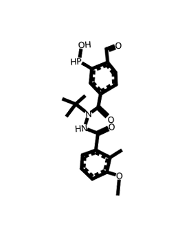 COc1cccc(C(=O)NN(C(=O)c2ccc(C=O)c(PO)c2)C(C)(C)C)c1C